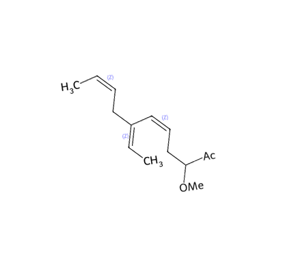 C/C=C\CC(/C=C\CC(OC)C(C)=O)=C/C